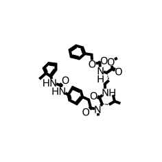 COC(=O)[C@H](CCNC(=O)[C@H](CC(C)C)N(C)C(=O)Cc1ccc(NC(=O)Nc2ccccc2C)cc1)NC(=O)OCc1ccccc1